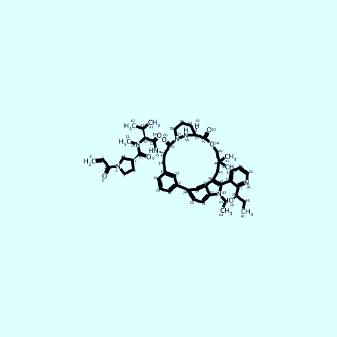 C=CC(=O)N1CC[C@H](C(=O)N(C)[C@H](C(=O)N[C@H]2Cc3cccc(c3)-c3ccc4c(c3)c(c(-c3cccnc3[C@H](O)CC)n4CC)CC(C)(C)COC(=O)[C@@H]3CCCN(N3)C2=O)C(C)C)C1